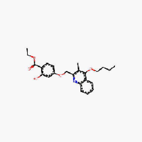 CCCCOc1c(C)c(COc2ccc(C(=O)OCC)c(O)c2)nc2ccccc12